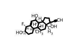 C#C[C@]1(O)CC[C@H]2[C@@H]3[C@H](O)C=C4[C@@H](F)[C@@H](O)CC[C@]4(C)[C@H]3CC[C@@]21C